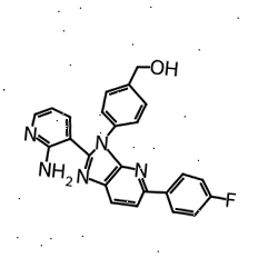 Nc1ncccc1-c1nc2ccc(-c3ccc(F)cc3)nc2n1-c1ccc(CO)cc1